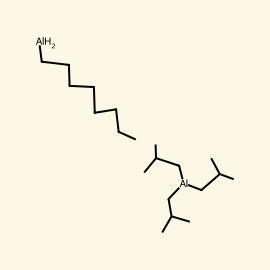 CC(C)[CH2][Al]([CH2]C(C)C)[CH2]C(C)C.CCCCCCC[CH2][AlH2]